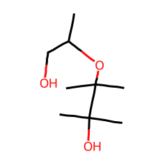 CC(CO)OC(C)(C)C(C)(C)O